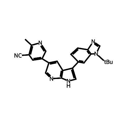 Cc1ncc(-c2cnc3[nH]cc(-c4ccc5ncn(C(C)(C)C)c5c4)c3c2)cc1C#N